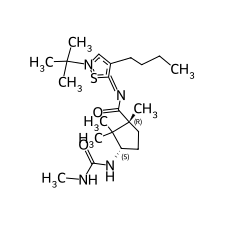 CCCCc1cn(C(C)(C)C)sc1=NC(=O)[C@]1(C)CC[C@H](NC(=O)NC)C1(C)C